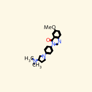 COc1ccc2ncn(-c3ccc(N4CCC(N(C)C)C4)cc3)c(=O)c2c1